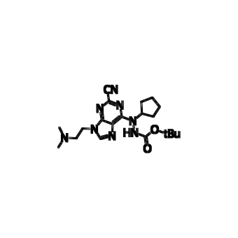 CN(C)CCn1cnc2c(N(NC(=O)OC(C)(C)C)C3CCCC3)nc(C#N)nc21